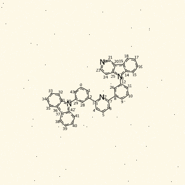 c1cc(-c2cccc(-c3cccc(-n4c5ccccc5c5cnccc54)c3)n2)cc(-n2c3ccccc3c3ccccc32)c1